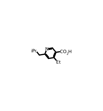 CCc1cc(CC(C)C)ncc1C(=O)O